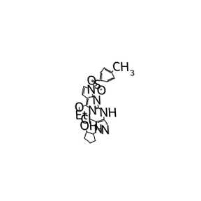 CCOc1nc(Nc2cnn(C3CCCC3O)c2Cl)nc2c1ccn2S(=O)(=O)c1ccc(C)cc1